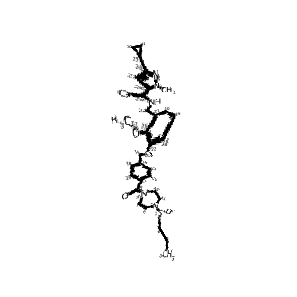 CCC[S+]([O-])N1CCN(C(=O)c2ccc(COc3cccc(CNC(=O)c4cc(C5CC5)nn4C)c3OC)cc2)CC1